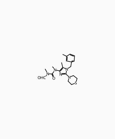 Cc1cccc(Cn2c(N3CCSCC3)nc(N(C)C(=O)N(C)C=O)c2C)c1